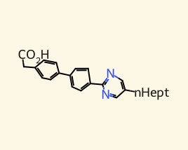 CCCCCCCc1cnc(-c2ccc(-c3ccc(CC(=O)O)cc3)cc2)nc1